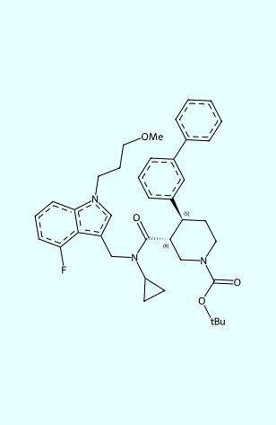 COCCCn1cc(CN(C(=O)[C@H]2CN(C(=O)OC(C)(C)C)CC[C@@H]2c2cccc(-c3ccccc3)c2)C2CC2)c2c(F)cccc21